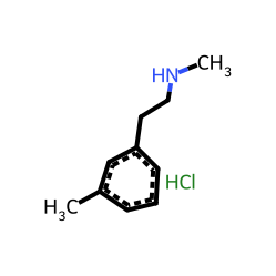 CNCCc1cccc(C)c1.Cl